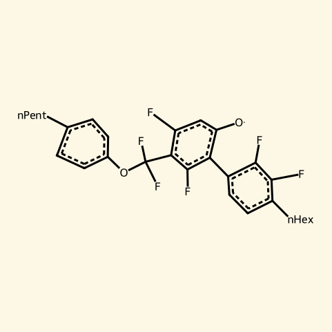 CCCCCCc1ccc(-c2c([O])cc(F)c(C(F)(F)Oc3ccc(CCCCC)cc3)c2F)c(F)c1F